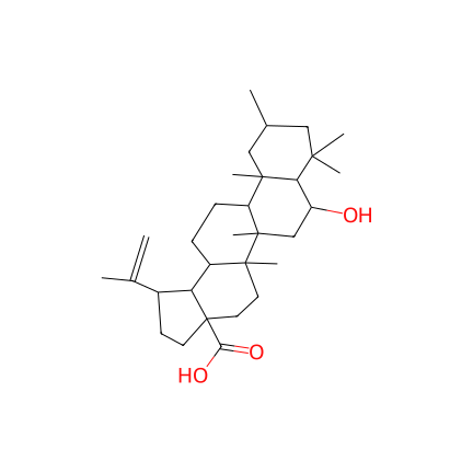 C=C(C)C1CCC2(C(=O)O)CCC3(C)C(CCC4C5(C)CC(C)CC(C)(C)C5C(O)CC43C)C12